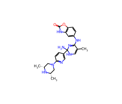 CC1=CNC(N)(c2ccc(N3C[C@@H](C)N[C@@H](C)C3)nc2)N=C1Nc1ccc2oc(=O)[nH]c2c1